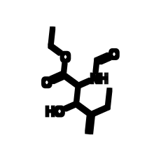 C=C(CC)C(O)C(NC=O)C(=O)OCC